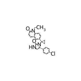 CCn1c(=O)ccc2cc(C3(n4c(-c5ccc(Cl)cc5)c[nH]c4=O)CC3)ccc21